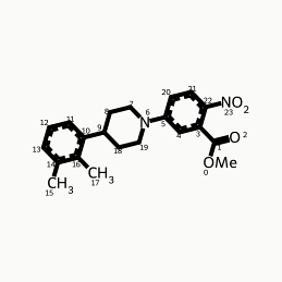 COC(=O)c1cc(N2CCC(c3cccc(C)c3C)CC2)ccc1[N+](=O)[O-]